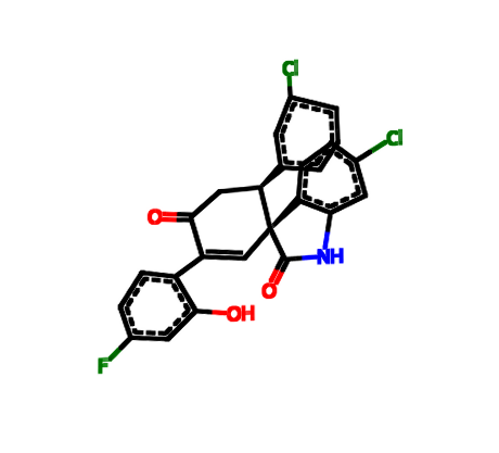 O=C1C[C@@H](c2cccc(Cl)c2)[C@@]2(C=C1c1ccc(F)cc1O)C(=O)Nc1cc(Cl)ccc12